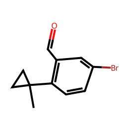 CC1(c2ccc(Br)cc2C=O)CC1